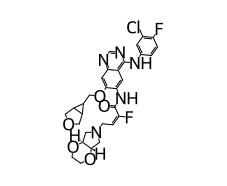 O=C(Nc1cc2c(Nc3ccc(F)c(Cl)c3)ncnc2cc1OCC1C2COCC21)/C(F)=C\CN1C[C@@H]2OCCO[C@H]2C1